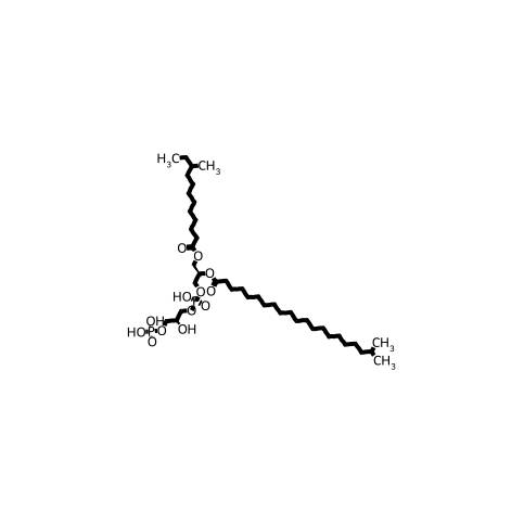 CCC(C)CCCCCCCCC(=O)OC[C@H](COP(=O)(O)OC[C@@H](O)COP(=O)(O)O)OC(=O)CCCCCCCCCCCCCCCCCCC(C)C